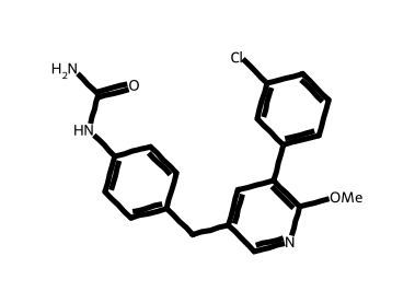 COc1ncc(Cc2ccc(NC(N)=O)cc2)cc1-c1cccc(Cl)c1